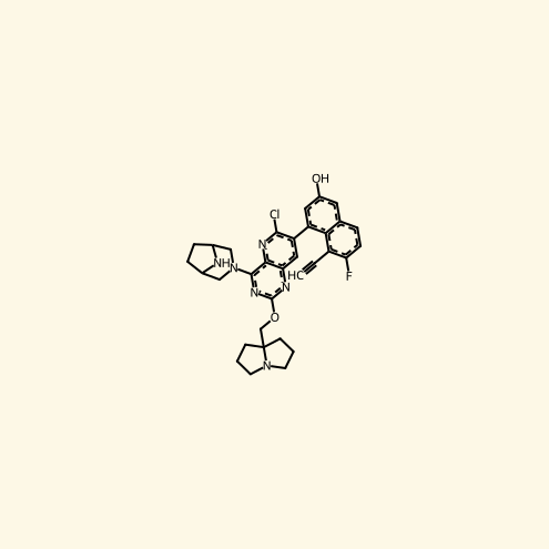 C#Cc1c(F)ccc2cc(O)cc(-c3cc4nc(OCC56CCCN5CCC6)nc(N5CC6CCC(C5)N6)c4nc3Cl)c12